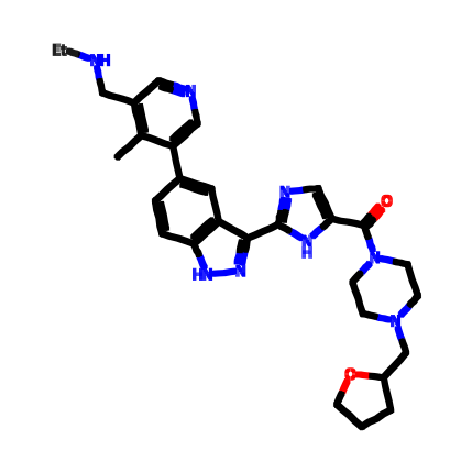 CCNCc1cncc(-c2ccc3[nH]nc(-c4ncc(C(=O)N5CCN(CC6CCCO6)CC5)[nH]4)c3c2)c1C